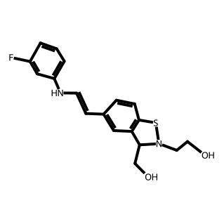 OCCN1Sc2ccc(C=CNc3cccc(F)c3)cc2C1CO